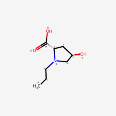 CCCN1C[C@H](O)C[C@H]1C(=O)O